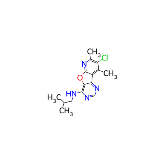 Cc1nc2oc3c(NCC(C)C)ncnc3c2c(C)c1Cl